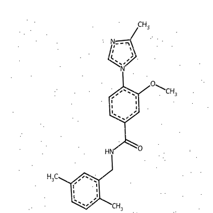 COc1cc(C(=O)NCc2cc(C)ccc2C)ccc1-n1cnc(C)c1